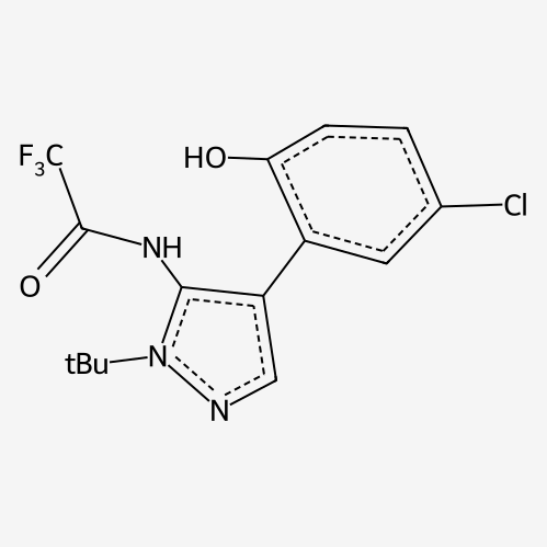 CC(C)(C)n1ncc(-c2cc(Cl)ccc2O)c1NC(=O)C(F)(F)F